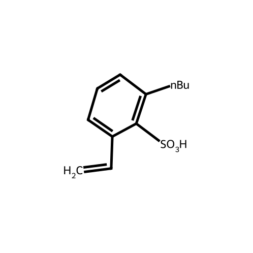 C=Cc1cccc(CCCC)c1S(=O)(=O)O